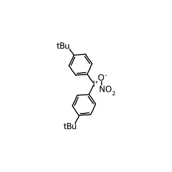 CC(C)(C)c1ccc([I+]c2ccc(C(C)(C)C)cc2)cc1.O=[N+]([O-])[O-]